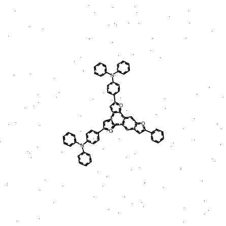 c1ccc(-c2cc3cc4c(cc3o2)c2oc(-c3ccc(N(c5ccccc5)c5ccccc5)cc3)cc2c2cc(-c3ccc(N(c5ccccc5)c5ccccc5)cc3)oc24)cc1